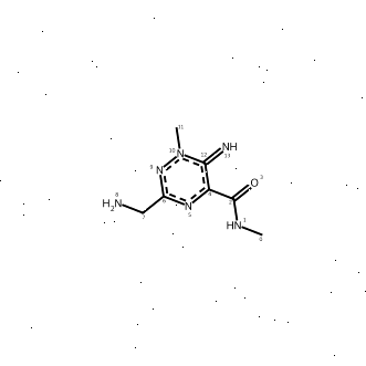 CNC(=O)c1nc(CN)nn(C)c1=N